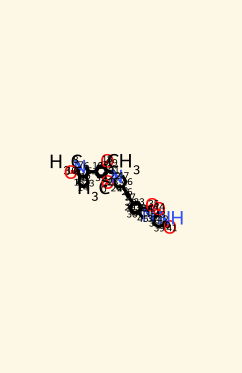 COc1cc(-c2cn(C)c(=O)c3c2CCC3)cc(OC)c1CN1CCC(C#Cc2ccc3c(c2)C(=O)N(C2CCC(=O)NC2=O)C3)CC1